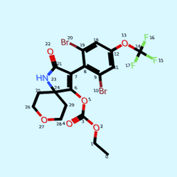 CCOC(=O)OC1=C(c2c(Br)cc(OC(F)(F)F)cc2Br)C(=O)NC12CCOCC2